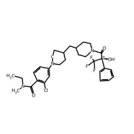 CCN(C)C(=O)c1ccc(N2CCC(CC3CCN(C(=O)[C@](O)(c4ccccc4)C(F)(F)F)CC3)CC2)cc1Cl